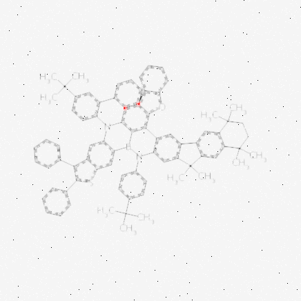 CC(C)(C)c1ccc(N2B3c4cc5sc(-c6ccccc6)c(-c6ccccc6)c5cc4N(c4ccc(C(C)(C)C)cc4-c4ccccc4)c4cc5c(oc6ccccc65)c(c43)-c3cc4c(cc32)C(C)(C)c2cc3c(cc2-4)C(C)(C)CCC3(C)C)cc1